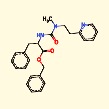 CN(CCc1ccccn1)C(=O)NC(Cc1ccccc1)C(=O)OCc1ccccc1